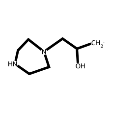 [CH2]C(O)CN1CCNCC1